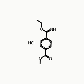 CCOC(=N)c1ccc(C(=O)OC)cc1.Cl